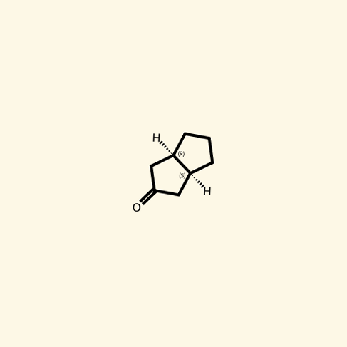 O=C1C[C@H]2CCC[C@H]2C1